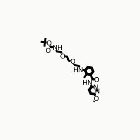 COc1ccc(NC(=O)c2cccc(NCCOCCOCCNC(=O)OC(C)(C)C)c2C)nn1